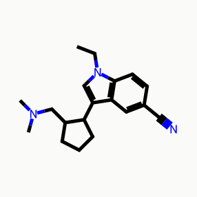 CCn1cc(C2CCCC2CN(C)C)c2cc(C#N)ccc21